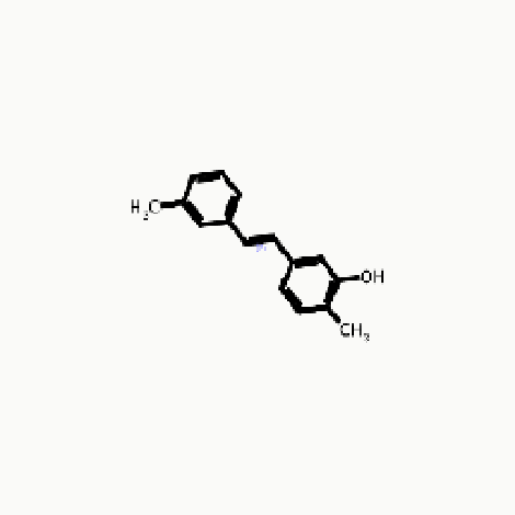 Cc1cccc(/C=C/c2ccc(C)c(O)c2)c1